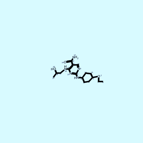 CCOC1CCC(Nc2ncc(C(N)=O)c(NCC(C)O)n2)CC1